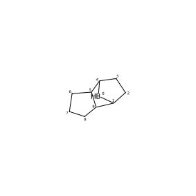 B1C2CCC1C1CCCC21